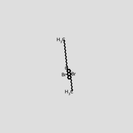 CCCCCCCCCCCCCCCCCCOc1ccc2c(Br)c3cc(CCCCCCCC)ccc3c(Br)c2c1